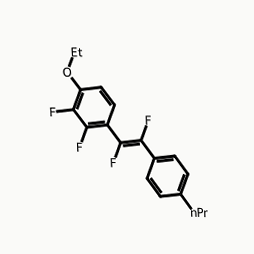 CCCc1ccc(/C(F)=C(\F)c2ccc(OCC)c(F)c2F)cc1